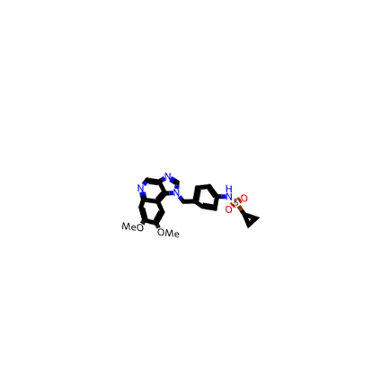 COc1cc2ncc3ncn(Cc4ccc(NS(=O)(=O)C5CC5)cc4)c3c2cc1OC